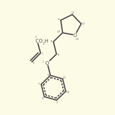 C=CC(=O)O.c1ccc(OCCC2CCCO2)cc1